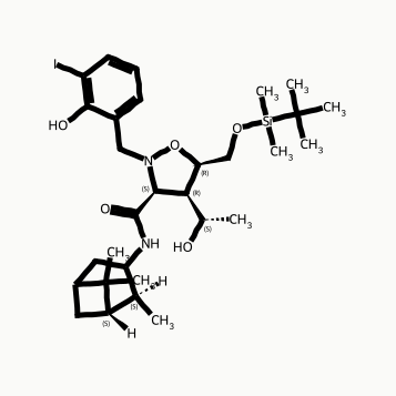 C[C@H](O)[C@@H]1[C@H](CO[Si](C)(C)C(C)(C)C)ON(Cc2cccc(I)c2O)[C@@H]1C(=O)NC1CC2C[C@@H]([C@@H]1C)C2(C)C